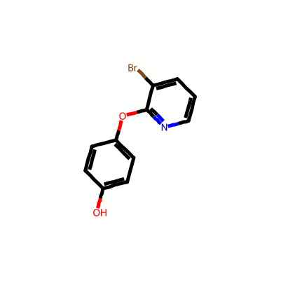 Oc1ccc(Oc2ncccc2Br)cc1